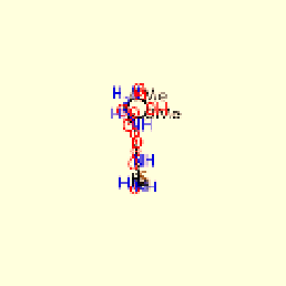 CO[C@H]1/C=C\C=C(/C)C(=O)NC2=CC(=O)C(NCCOCCOCCOCCNC(=O)CCCCC3SC[C@@H]4NC(=O)N[C@H]34)=C(C[C@@H](C)C[C@H](OC)[C@H](O)[C@@H](C)/C=C(\C)[C@@H]1OC(N)=O)C2=O